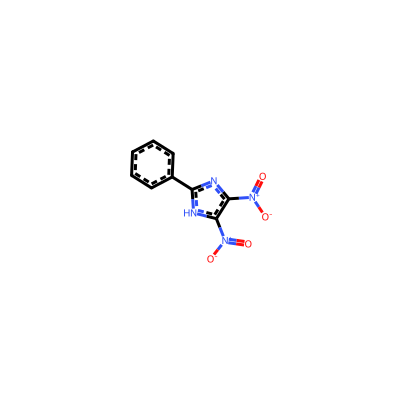 O=[N+]([O-])c1nc(-c2ccccc2)[nH]c1[N+](=O)[O-]